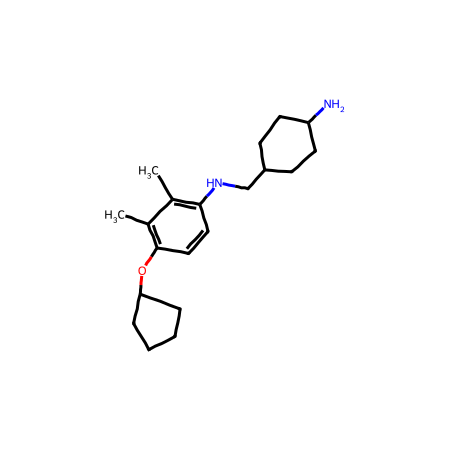 Cc1c(NCC2CCC(N)CC2)ccc(OC2CCCC2)c1C